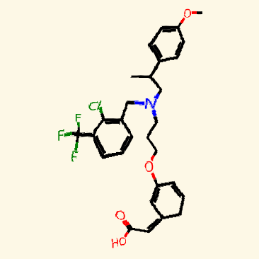 COc1ccc(C(C)CN(CCCOC2=CC(=CC(=O)O)CC=C2)Cc2cccc(C(F)(F)F)c2Cl)cc1